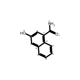 NC(=O)c1[c]c(O)cc2ccccc12